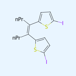 CCC/C(=C(\CCC)c1ccc(I)s1)c1ccc(I)s1